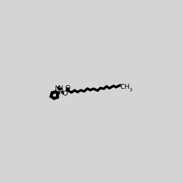 CCCCCCCCCCCCCCCCCC(=O)On1nnc2ccccc21